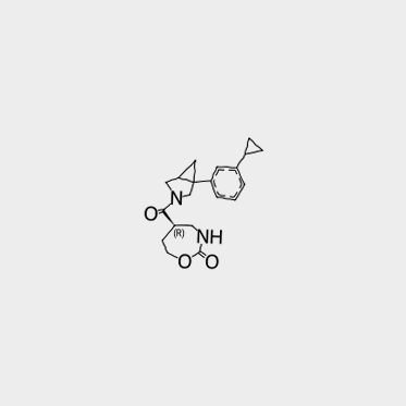 O=C1NC[C@H](C(=O)N2CC3CC3(c3cccc(C4CC4)c3)C2)CCO1